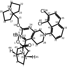 CC(C)(C)OC(=O)N1[C@@H]2CC[C@H]1CN(c1nc(OCC34CCCN3CCC4)nc3c1CCN(c1cccc4ccc(Cl)c(Cl)c14)C3)C2